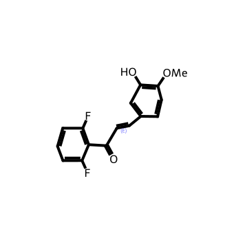 COc1ccc(/C=C/C(=O)c2c(F)cccc2F)cc1O